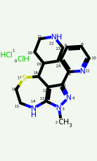 Cl.Cl.Cn1nc(-c2ccccn2)c2c1NCCSC2C1CCNCC1